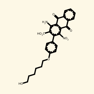 Nc1c2c(c([N+](=O)[O-])c(-c3ccc(OCCCCCCO)cc3)c1C(=O)O)C(=O)c1ccccc1C2=O